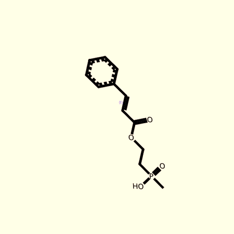 CP(=O)(O)CCOC(=O)/C=C/c1ccccc1